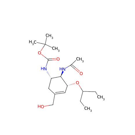 CCC(CC)O[C@@H]1C=C(CO)C[C@H](NC(=O)OC(C)(C)C)[C@H]1NC(C)=O